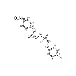 C[n+]1ccc(SSC(C)(C)COC(=O)Oc2ccc([N+](=O)[O-])cc2)cc1